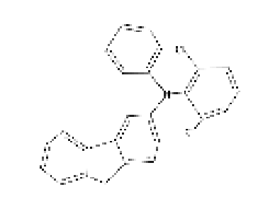 Clc1cccc(Cl)c1N(c1ccccc1)c1ccc2c(c1)-c1ccccc1C2